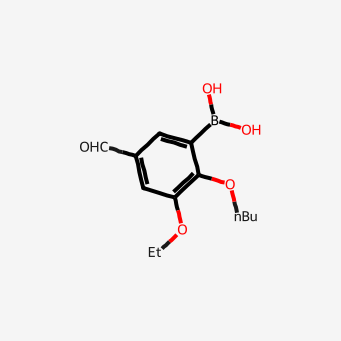 CCCCOc1c(OCC)cc(C=O)cc1B(O)O